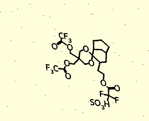 O=C(OCC1(COC(=O)C(F)(F)F)COC2(OC1)C1CCCC(C1)CC2CCOC(=O)C(F)(F)S(=O)(=O)O)C(F)(F)F